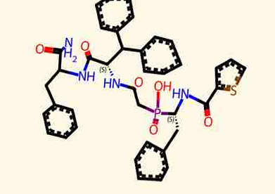 NC(=O)C(Cc1ccccc1)NC(=O)[C@@H](NC(=O)CP(=O)(O)[C@@H](Cc1ccccc1)NC(=O)c1cccs1)C(c1ccccc1)c1ccccc1